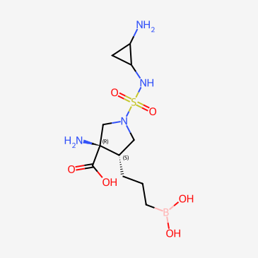 NC1CC1NS(=O)(=O)N1C[C@H](CCCB(O)O)[C@](N)(C(=O)O)C1